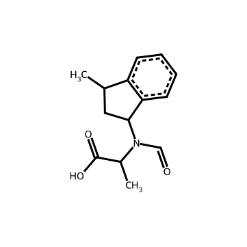 CC1CC(N(C=O)C(C)C(=O)O)c2ccccc21